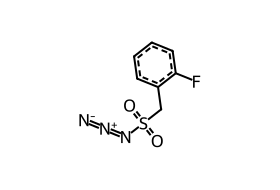 [N-]=[N+]=NS(=O)(=O)Cc1ccccc1F